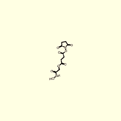 O=C(COC(=O)CCC(=O)ON1C(=O)CCC1=O)NO